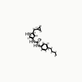 CCCCc1ccc(NC(=O)Nc2c[nH]c(CC3CC3)c2)cc1